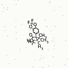 CC1(C)C(C)(C)C1(C(=O)O)c1ccc2c(c1)OC(F)(F)O2